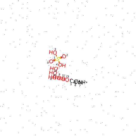 O=S(=O)(O)O.[Ca+2].[Co+2].[Ni+2].[OH-].[OH-].[OH-].[OH-].[OH-].[OH-]